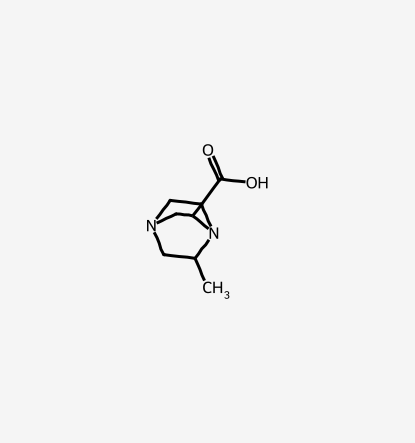 CC1CN2CCN1C(C(=O)O)C2